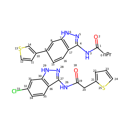 CCCC(=O)Nc1n[nH]c2cc(-c3ccsc3)ccc12.O=C(Cc1cccs1)Nc1n[nH]c2cc(Cl)ccc12